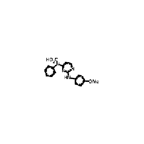 COc1ccc(Nc2nccc(N(C(=O)O)c3ccccc3)n2)cc1